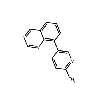 Cc1ccc(-c2cccc3cncnc23)cn1